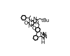 CC(c1ccccc1)n1c(=O)n(C)c(=O)c2c1nc(CC(C)(C)C)n2Cc1ccc(-c2ccccc2-c2nnn[nH]2)cc1